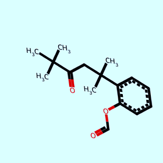 CC(C)(C)C(=O)CC(C)(C)c1ccccc1OC=O